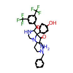 NCC(=O)C1(c2ccc(O)cc2)C(C(=O)c2cc(C(F)(F)F)cc(C(F)(F)F)c2)NCCN1C1CCN(Cc2ccccc2)CC1